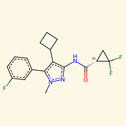 Cn1nc(NC(=O)[C@@H]2CC2(F)F)c(C2CCC2)c1-c1cccc(F)c1